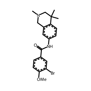 COc1ccc(C(=O)Nc2ccc3c(c2)CN(C)CC3(C)C)cc1Br